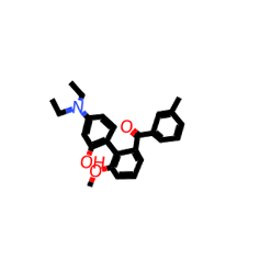 CCN(CC)c1ccc(-c2c(OC)cccc2C(=O)c2cccc(C)c2)c(O)c1